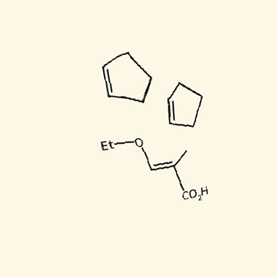 C1=CCCC1.C1=CCCC1.CCOC=C(C)C(=O)O